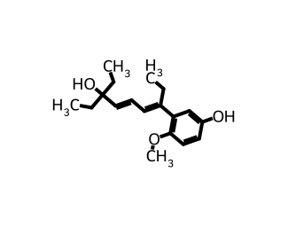 CCC(=CC=CC(O)(CC)CC)c1cc(O)ccc1OC